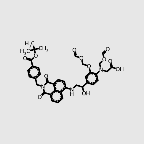 CC(C)(C)OC(=O)c1ccc(CN2C(=O)c3cccc4c(NCC(O)c5ccc(N(COC=O)CC(=O)O)c(OCOC=O)c5)ccc(c34)C2=O)cc1